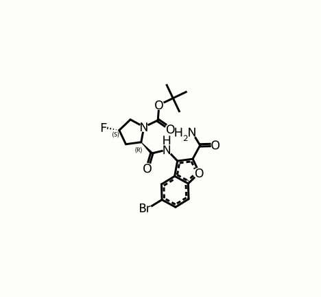 CC(C)(C)OC(=O)N1C[C@@H](F)C[C@@H]1C(=O)Nc1c(C(N)=O)oc2ccc(Br)cc12